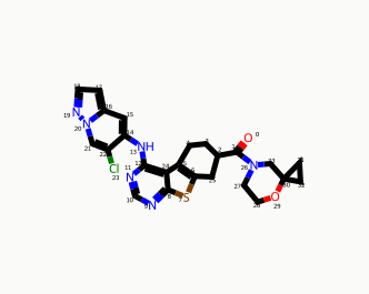 O=C(C1CCc2c(sc3ncnc(Nc4cc5ccnn5cc4Cl)c23)C1)N1CCOC2(CC2)C1